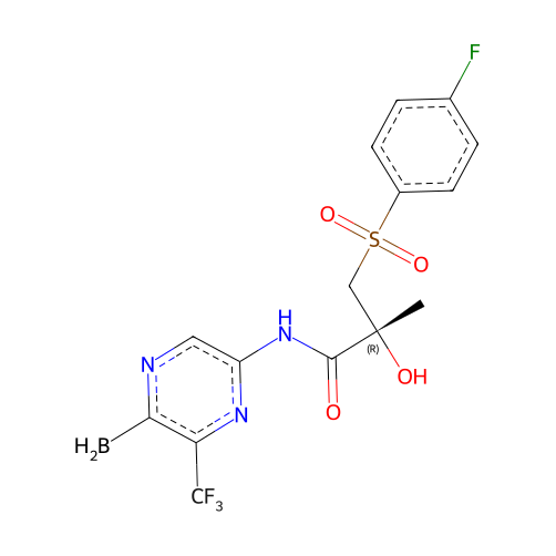 Bc1ncc(NC(=O)[C@@](C)(O)CS(=O)(=O)c2ccc(F)cc2)nc1C(F)(F)F